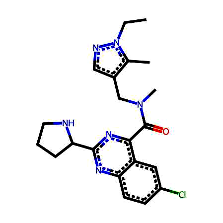 CCn1ncc(CN(C)C(=O)c2nc(C3CCCN3)nc3ccc(Cl)cc23)c1C